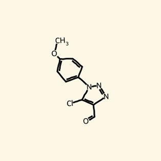 COc1ccc(-n2nnc(C=O)c2Cl)cc1